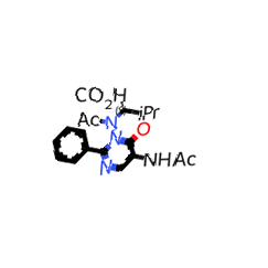 CC(=O)Nc1cnc(-c2ccccc2)n(N(C(C)=O)[C@H](C(=O)O)C(C)C)c1=O